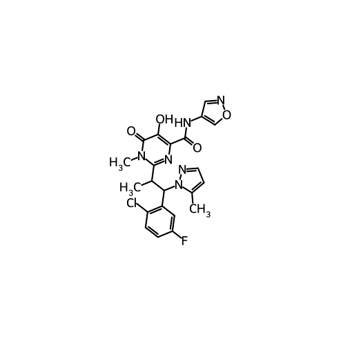 Cc1ccnn1C(c1cc(F)ccc1Cl)C(C)c1nc(C(=O)Nc2cnoc2)c(O)c(=O)n1C